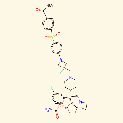 CNC(=O)c1ccc(S(=O)(=O)c2ccc(N3CC(F)(CN4CCC([C@@](CN5CCC5)(c5cccc(F)c5)[C@H]5CCC[C@@H]5OC(N)=O)CC4)C3)cc2)cc1